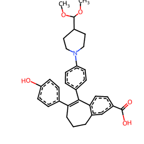 COC(OC)C1CCN(c2ccc(C3=C(c4ccc(O)cc4)CCCc4cc(C(=O)O)ccc43)cc2)CC1